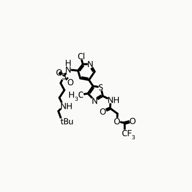 Cc1nc(NC(=O)COC(=O)C(F)(F)F)sc1-c1cnc(Cl)c(NS(=O)(=O)CCCNCC(C)(C)C)c1